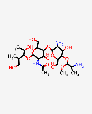 COC(OC1C(CO)OC(OC2C(CO)OC(OC(C(C)O)C(C)CO)C(NC(C)=O)C2O)C(N)C1O)C(C)N